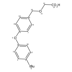 CC(C)(C)c1ccc(Oc2ccc(COCC(=O)O)cc2)cc1